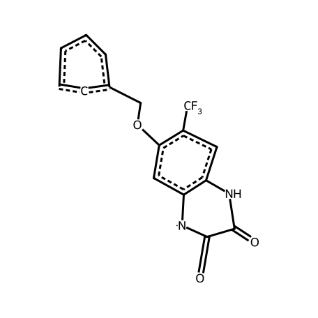 O=C1[N]c2cc(OCc3ccccc3)c(C(F)(F)F)cc2NC1=O